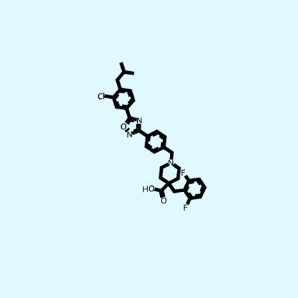 CC(C)Cc1ccc(-c2nc(-c3ccc(CN4CCC(Cc5c(F)cccc5F)(C(=O)O)CC4)cc3)no2)cc1Cl